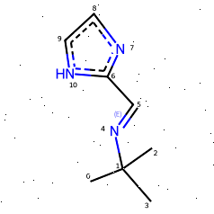 CC(C)(C)/N=C/c1ncc[nH]1